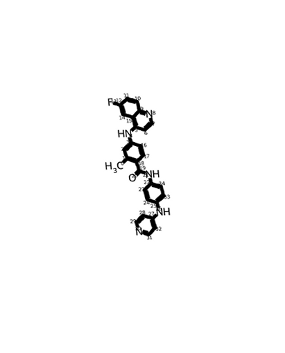 Cc1cc(Nc2ccnc3ccc(F)cc23)ccc1C(=O)Nc1ccc(Nc2ccncc2)cc1